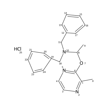 Cc1nccnc1OC(C)N(Cc1ccccc1)Cc1ccccc1.Cl